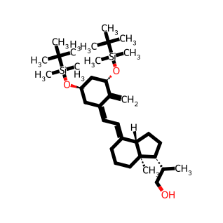 C=C1/C(=C\C=C2/CCC[C@]3(C)[C@@H](C(C)CO)CC[C@@H]23)C[C@@H](O[Si](C)(C)C(C)(C)C)C[C@@H]1O[Si](C)(C)C(C)(C)C